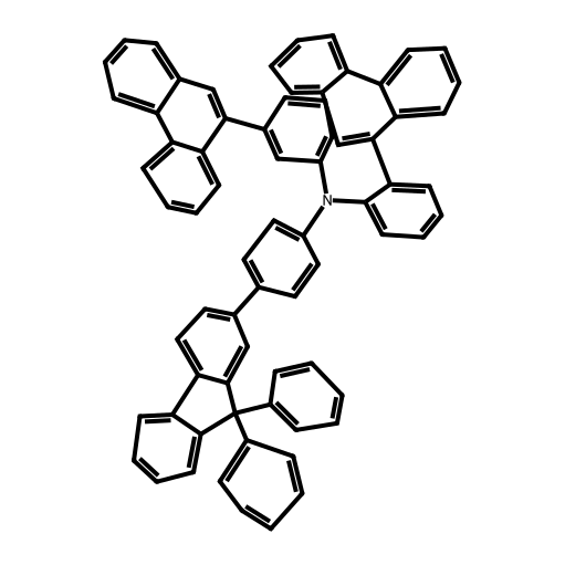 c1ccc(C2(c3ccccc3)c3ccccc3-c3ccc(-c4ccc(N(c5cccc(-c6cc7ccccc7c7ccccc67)c5)c5ccccc5-c5cc6ccccc6c6ccccc56)cc4)cc32)cc1